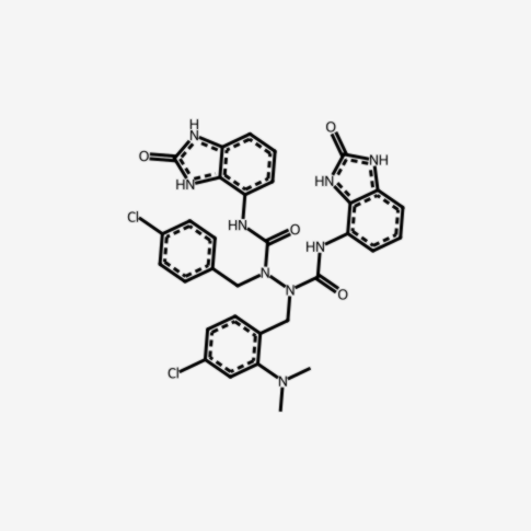 CN(C)c1cc(Cl)ccc1CN(C(=O)Nc1cccc2[nH]c(=O)[nH]c12)N(Cc1ccc(Cl)cc1)C(=O)Nc1cccc2[nH]c(=O)[nH]c12